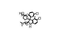 COc1ccc(Cl)cc1C1(N2C[C@H](O)C[C@H]2C(=O)N(C)C)C(=O)Nc2ccc(Cl)c(C)c21